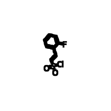 O=S(=O)(Cl)C=Cc1ccccc1F